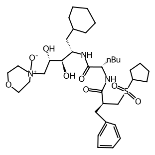 CCCC[C@H](NC(=O)[C@H](Cc1ccccc1)CS(=O)(=O)C1CCCC1)C(=O)N[C@@H](CC1CCCCC1)[C@@H](O)[C@@H](O)C[N+]1([O-])CCOCC1